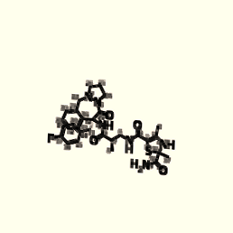 CC1=C(C(=O)NC[C@@H](C)C(=O)N[C@]2(Cc3ccc(F)cc3)C(=O)N3CCCN3Cc3ccccc32)SC(C)(C(N)=O)N1